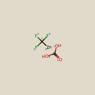 F[C](F)(F)[Zn].O=C(O)O